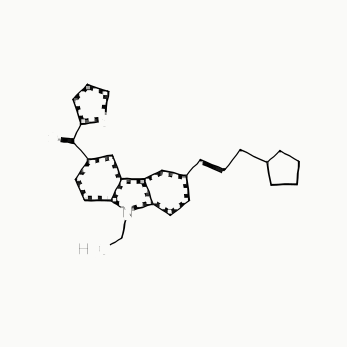 CCn1c2ccc(C=CCC3CCCC3)cc2c2cc(C(=O)c3cccs3)ccc21